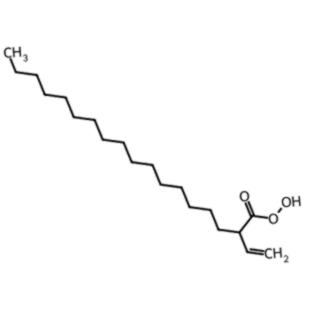 C=CC(CCCCCCCCCCCCCCCC)C(=O)OO